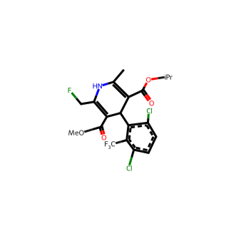 COC(=O)C1=C(CF)NC(C)=C(C(=O)OC(C)C)C1c1c(Cl)ccc(Cl)c1C(F)(F)F